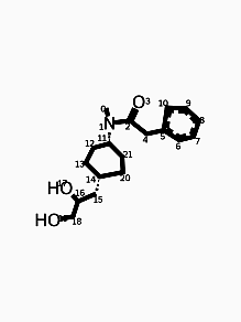 CN(C(=O)Cc1ccccc1)[C@H]1CC[C@@H](CC(O)CO)CC1